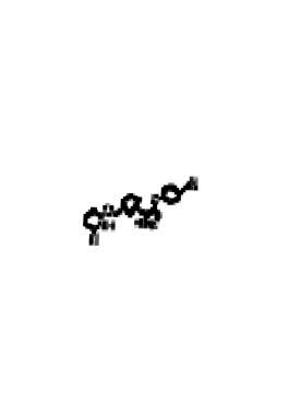 N#Cc1ccc(Oc2cn[nH]c2-c2cccc(COC3C=CC=C(Cl)N3)c2)cc1